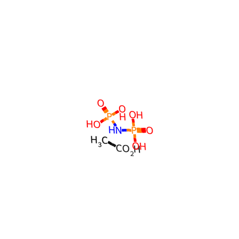 CC(=O)O.O=P(O)(O)NP(=O)(O)O